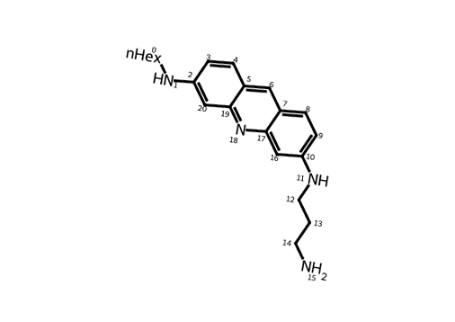 CCCCCCNc1ccc2cc3ccc(NCCCN)cc3nc2c1